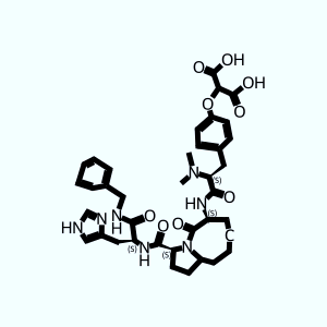 CN(C)[C@@H](Cc1ccc(OC(C(=O)O)C(=O)O)cc1)C(=O)N[C@H]1CCCCC2CC[C@@H](C(=O)N[C@@H](Cc3c[nH]cn3)C(=O)NCc3ccccc3)N2C1=O